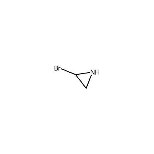 BrC1CN1